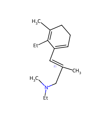 CCC1=C(C)CCC=C1/C=C(\C)CN(C)CC